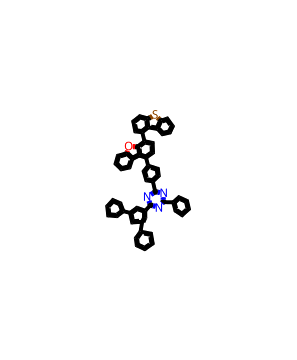 c1ccc(-c2cc(-c3ccccc3)cc(-c3nc(-c4ccccc4)nc(-c4ccc(-c5ccc(-c6cccc7sc8ccccc8c67)c6oc7ccccc7c56)cc4)n3)c2)cc1